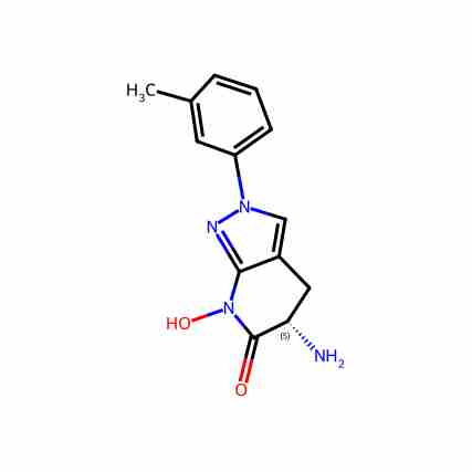 Cc1cccc(-n2cc3c(n2)N(O)C(=O)[C@@H](N)C3)c1